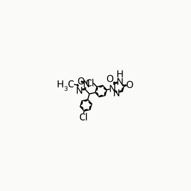 Cc1nc(C(c2ccc(Cl)cc2)c2ccc(-n3ncc(=O)[nH]c3=O)cc2Cl)no1